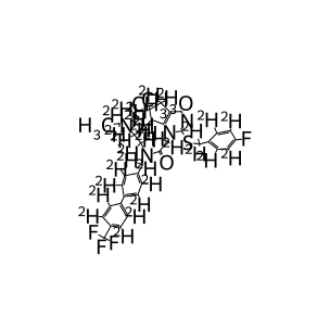 [2H]c1c([2H])c(C([2H])([2H])Sc2nc(=O)c3c(n2C([2H])([2H])C(=O)N(C([2H])([2H])c2c([2H])c([2H])c(-c4c([2H])c([2H])c(C(F)(F)F)c([2H])c4[2H])c([2H])c2[2H])C([2H])([2H])C([2H])([2H])N(C([2H])([2H])C)C([2H])([2H])C)C([2H])([2H])C([2H])(C)C3([2H])[2H])c([2H])c([2H])c1F